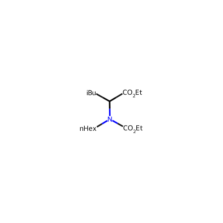 CCCCCCN(C(=O)OCC)C(C(=O)OCC)C(C)CC